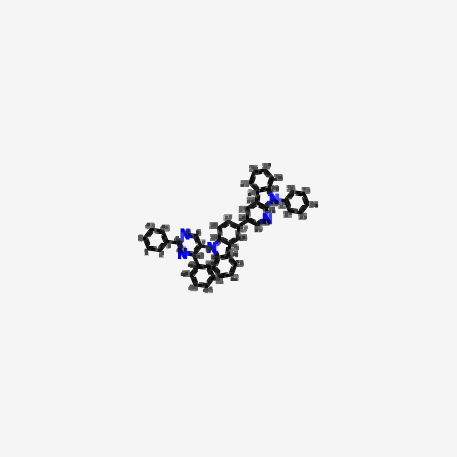 c1ccc(-c2ncc(-n3c4ccccc4c4cc(-c5cnc6c(c5)c5ccccc5n6-c5ccccc5)ccc43)c(-c3ccccc3)n2)cc1